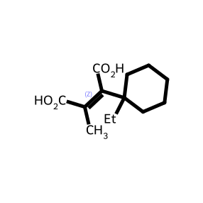 CCC1(/C(C(=O)O)=C(\C)C(=O)O)CCCCC1